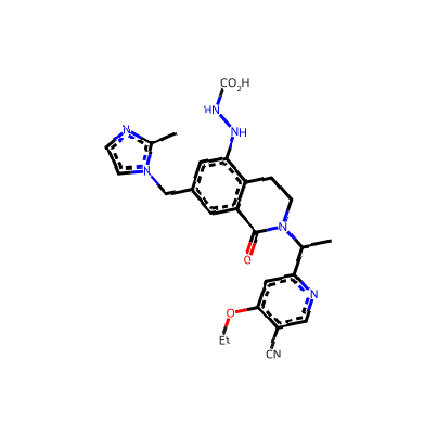 CCOc1cc(C(C)N2CCc3c(NNC(=O)O)cc(Cn4ccnc4C)cc3C2=O)ncc1C#N